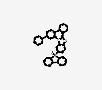 O=P1(c2ccc3nc4c5ccccc5c5ccc(-c6ccccc6)cc5n4c3c2)c2ccccc2-c2ccccc21